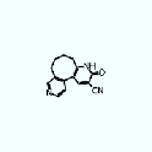 N#Cc1cc2c([nH]c1=O)CCCCc1cnccc1-2